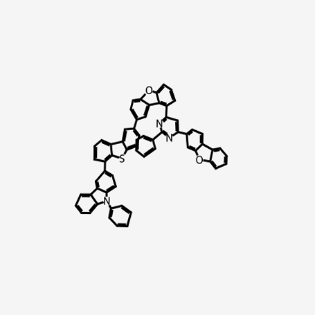 c1ccc(-c2nc(-c3ccc4c(c3)oc3ccccc34)cc(-c3cccc4oc5ccc(-c6ccc7sc8c(-c9ccc%10c(c9)c9ccccc9n%10-c9ccccc9)cccc8c7c6)cc5c34)n2)cc1